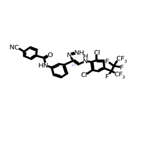 N#Cc1ccc(C(=O)Nc2cccc(/C(=C/Nc3c(Cl)cc(C(F)(C(F)(F)F)C(F)(F)C(F)(F)F)cc3Cl)N=N)c2)cc1